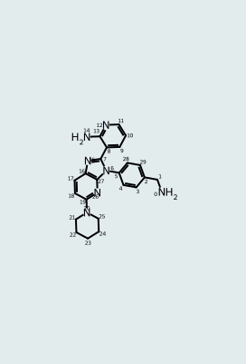 NCc1ccc(-n2c(-c3cccnc3N)nc3ccc(N4CCCCC4)nc32)cc1